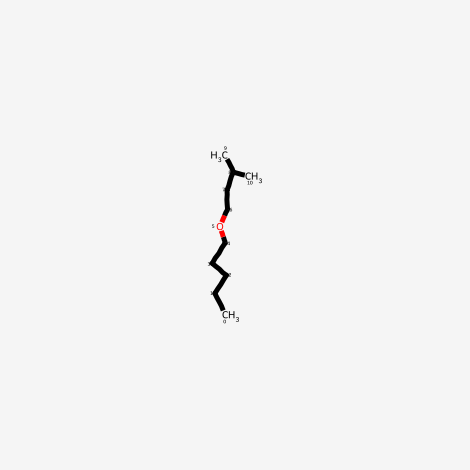 CCCCCOCC[C](C)C